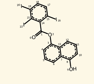 O=C(Oc1cccc2c(O)cccc12)c1c(I)ccc(I)c1I